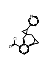 O=C(Cl)c1cccc2c1=CC1(CC3CC=23)CC1c1cccnc1